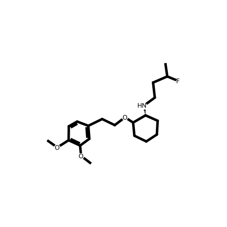 COc1ccc(CCOC2CCCC[C@H]2NCCC(C)F)cc1OC